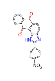 O=C1c2ccccc2C(=O)c2c1ccc1nc(-c3ccc([N+](=O)[O-])cc3)[nH]c21